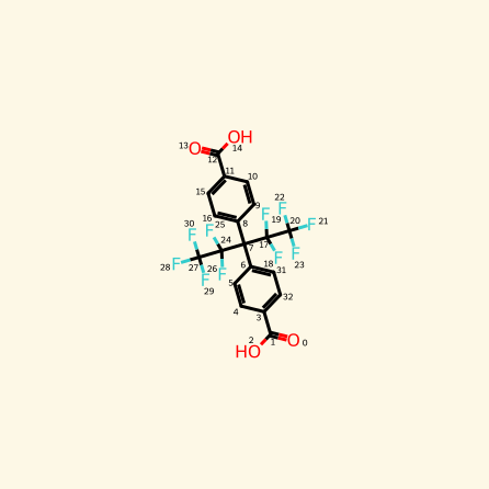 O=C(O)c1ccc(C(c2ccc(C(=O)O)cc2)(C(F)(F)C(F)(F)F)C(F)(F)C(F)(F)F)cc1